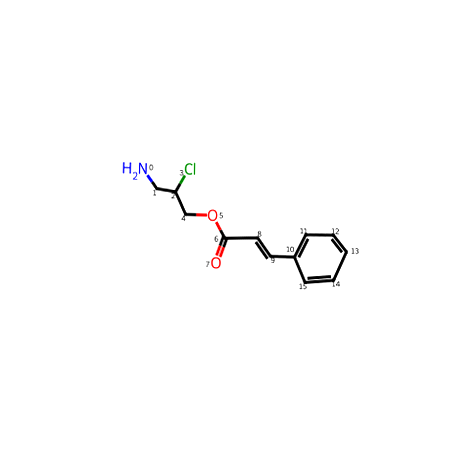 NCC(Cl)COC(=O)C=Cc1ccccc1